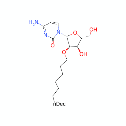 CCCCCCCCCCCCCCCCO[C@@H]1[C@H](O)[C@@H](CO)O[C@H]1n1ccc(N)nc1=O